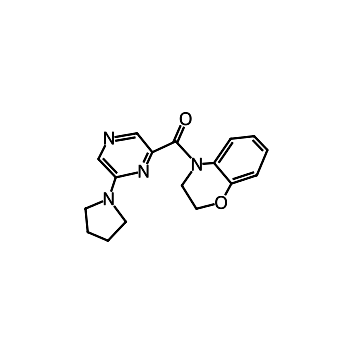 O=C(c1cncc(N2CCCC2)n1)N1CCOc2ccccc21